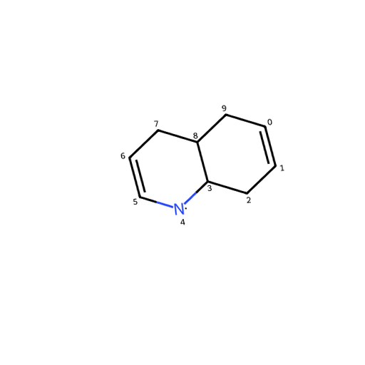 C1=CCC2[N]C=CCC2C1